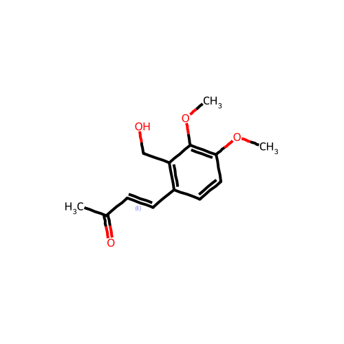 COc1ccc(/C=C/C(C)=O)c(CO)c1OC